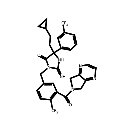 N=C1NC(CCC2CC2)(c2cccc(C(F)(F)F)c2)C(=O)N1Cc1ccc(C(F)(F)F)c(C(=O)N2Cc3nccnc3C2)c1